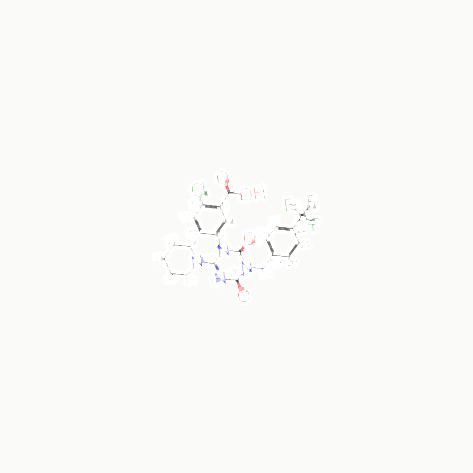 O=C(O)c1cc(-n2c(N3CCCCC3)nc(=O)n(Cc3ccc(C(F)(F)F)cc3)c2=O)ccc1Cl